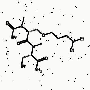 CCCC(=O)N(C)[C@H](COCCCN(CC)CC)C(=O)N(C)[C@@H](CC(C)C)C(N)=O